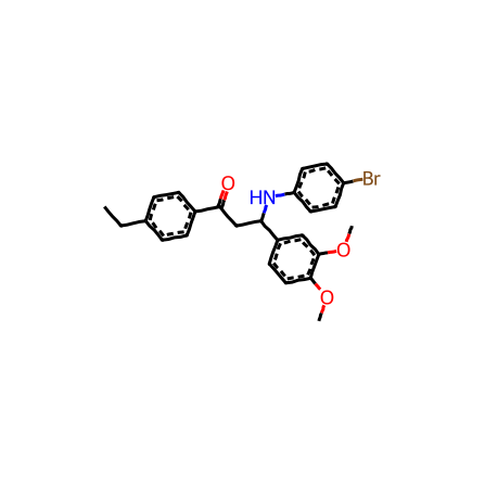 CCc1ccc(C(=O)CC(Nc2ccc(Br)cc2)c2ccc(OC)c(OC)c2)cc1